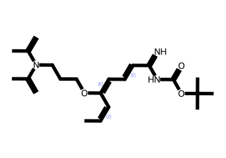 C=C(C)N(CCCOC(/C=C\C)=C/C=C/C(=N)NC(=O)OC(C)(C)C)C(=C)C